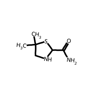 CC1(C)CNC(C(N)=O)S1